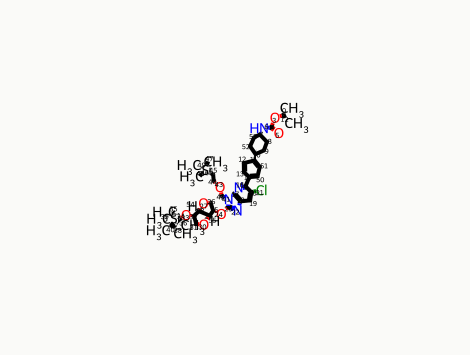 CC(C)OC(=O)N[C@H]1CC[C@@H](c2ccc(-c3nc4c(cc3Cl)nc(O[C@@H]3CO[C@H]5[C@@H]3OC[C@H]5O[Si](C)(C)C(C)(C)C)n4COCC[Si](C)(C)C)cc2)CC1